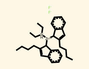 CCCCC1=Cc2ccccc2[CH]1[Zr+2]([CH]1C(CCCC)=Cc2ccccc21)[SiH](CC)CC.[F-].[F-]